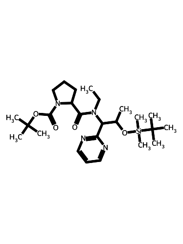 CCN(C(=O)C1CCCN1C(=O)OC(C)(C)C)C(c1ncccn1)C(C)O[Si](C)(C)C(C)(C)C